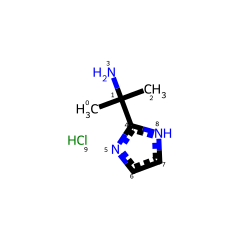 CC(C)(N)c1ncc[nH]1.Cl